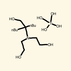 CCCCC(CO)(CCCC)N(CCO)CCO.[OH][Ti]([OH])([OH])[OH]